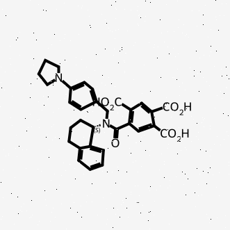 O=C(O)c1cc(C(=O)O)c(C(=O)N(Cc2ccc(N3CCCC3)cc2)[C@H]2CCCc3ccccc32)cc1C(=O)O